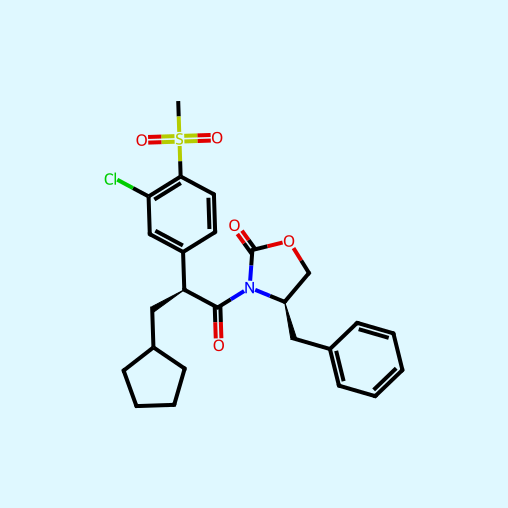 CS(=O)(=O)c1ccc([C@H](CC2CCCC2)C(=O)N2C(=O)OC[C@H]2Cc2ccccc2)cc1Cl